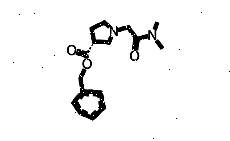 CN(C)C(=O)CN1CC[C@@H](C(=O)OCc2ccccc2)C1